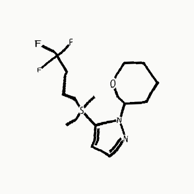 CS(C)(CCC(F)(F)F)c1ccnn1C1CCCCO1